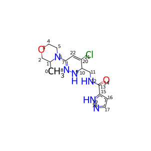 CC1COCCN1C1=NNC(CNC(=O)c2ccn[nH]2)C(Cl)=C1